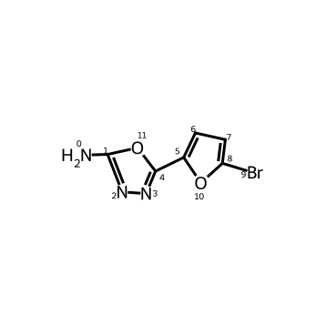 Nc1nnc(-c2ccc(Br)o2)o1